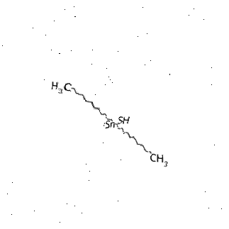 CCCCCCCCCCC[CH2][Sn][CH](S)CCCCCCCCCCC